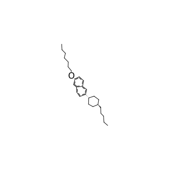 CCCCCCCOc1ccc2cc([C@H]3CC[C@H](CCCCC)CC3)ccc2c1